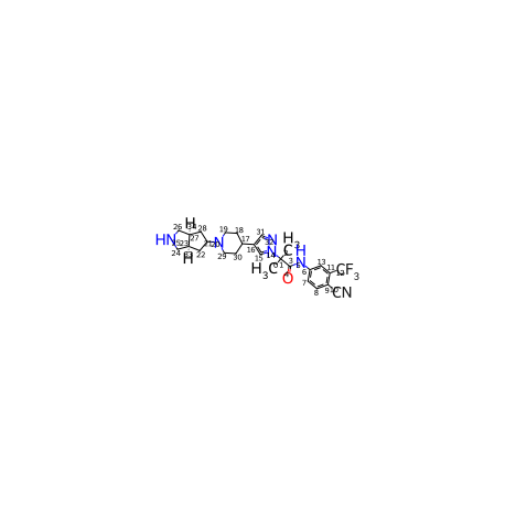 CC(C)(C(=O)Nc1ccc(C#N)c(C(F)(F)F)c1)n1cc(C2CCN(C3C[C@H]4CNC[C@H]4C3)CC2)cn1